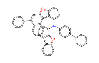 c1ccc(-c2ccc(N(c3cccc4c3oc3ccccc34)c3cccc4oc5cc(-c6ccccc6)c6ccccc6c5c34)cc2)cc1